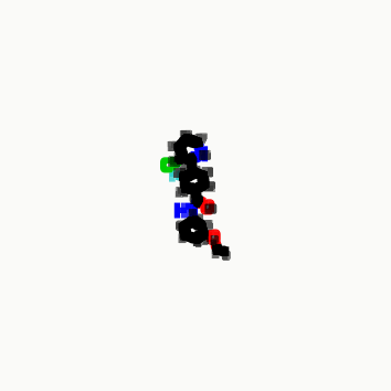 CCOc1cccc(NC(=O)c2ccc(-c3ncccc3Cl)c(F)c2)c1